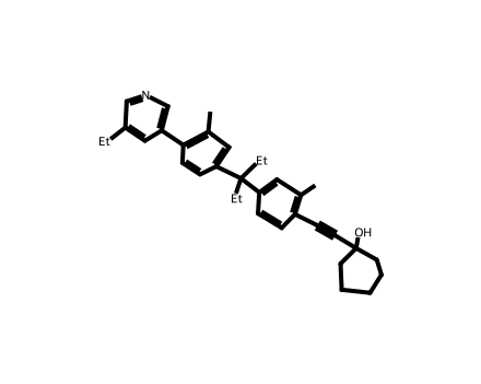 CCc1cncc(-c2ccc(C(CC)(CC)c3ccc(C#CC4(O)CCCCC4)c(C)c3)cc2C)c1